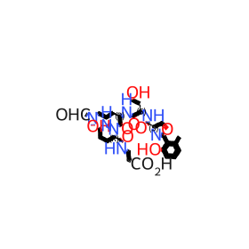 Cc1cccc(O)c1C1=N[C@H](C(=O)N[C@@H](CCO)C(=O)N[C@H](CCCN(O)C=O)C(=O)N2NCCC[C@@H]2C(=O)NCCC(=O)O)CO1